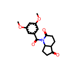 COc1cc(OC)cc(C(=O)N2C(=O)CCC3C(=O)CCC32)c1